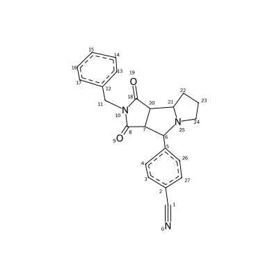 N#Cc1ccc(C2C3C(=O)N(Cc4ccccc4)C(=O)C3C3CCCN32)cc1